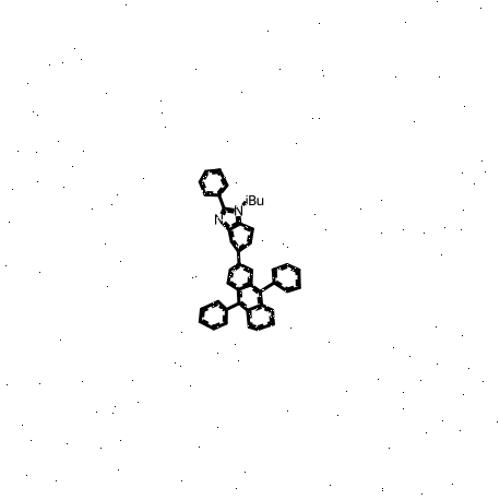 CCC(C)n1c(-c2ccccc2)nc2cc(-c3ccc4c(-c5ccccc5)c5ccccc5c(-c5ccccc5)c4c3)ccc21